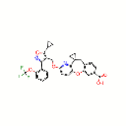 O=C(O)c1ccc2c(c1)Oc1ccc(OCc3c(-c4ccccc4OC(F)(F)F)noc3C3CC3)nc1C1(CC1)C2